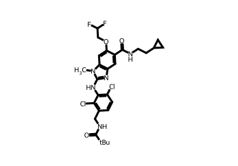 Cn1c(Nc2c(Cl)ccc(CNC(=O)C(C)(C)C)c2Cl)nc2cc(C(=O)NCCC3CC3)c(OCC(F)F)cc21